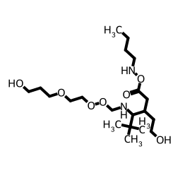 CCCCNOC(=O)CC(CCO)C(NCOOCCOCCCO)C(C)(C)C